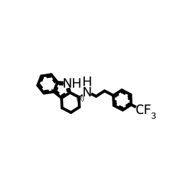 FC(F)(F)c1ccc(CCN[C@@H]2CCCc3c2[nH]c2ccccc32)cc1